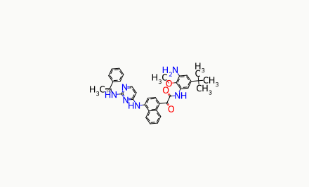 COc1c(N)cc(C(C)(C)C)cc1NC(=O)C(=O)c1ccc(Nc2ccnc(N[C@@H](C)c3ccccc3)n2)c2ccccc12